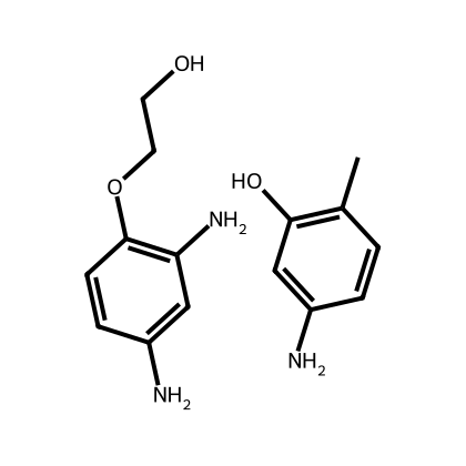 Cc1ccc(N)cc1O.Nc1ccc(OCCO)c(N)c1